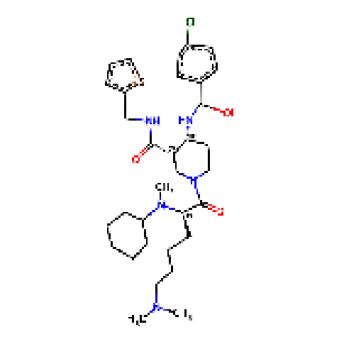 CN(C)CCCC[C@H](C(=O)N1CC[C@@H](NC(O)c2ccc(Cl)cc2)[C@@H](C(=O)NCc2cccs2)C1)N(C)C1CCCCC1